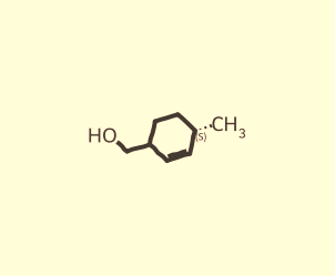 C[C@@H]1C=CC(CO)CC1